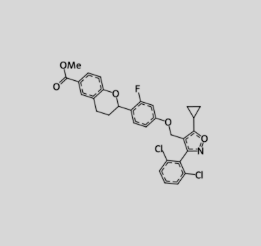 COC(=O)c1ccc2c(c1)CCC(c1ccc(OCc3c(-c4c(Cl)cccc4Cl)noc3C3CC3)cc1F)O2